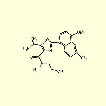 COc1ccc(-c2nc(C(=O)N(C)CCO)c([C@H](C)N)o2)c2ccc(C(F)(F)F)nc12